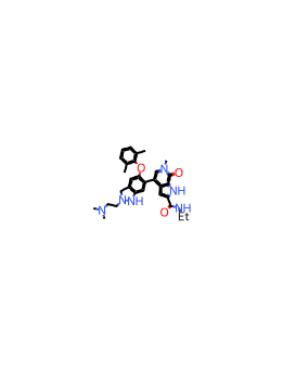 CCNC(=O)c1cc2c(-c3cc4c(cc3Oc3c(C)cccc3C)CN(CCN(C)C)N4)cn(C)c(=O)c2[nH]1